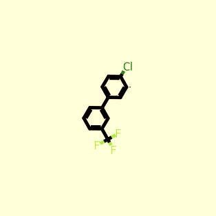 FC(F)(F)c1cccc(-c2c[c]c(Cl)cc2)c1